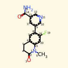 CN1C(=O)CCc2cc(-c3cncc(C(N)=O)c3)c(F)cc21